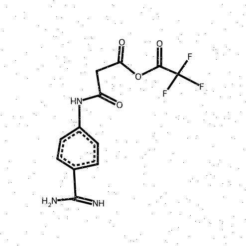 N=C(N)c1ccc(NC(=O)CC(=O)OC(=O)C(F)(F)F)cc1